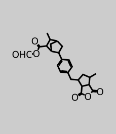 CC1CC(Cc2ccc(C3CC4CC3C(C(=O)OC=O)C4C)cc2)C2C(=O)OC(=O)C12